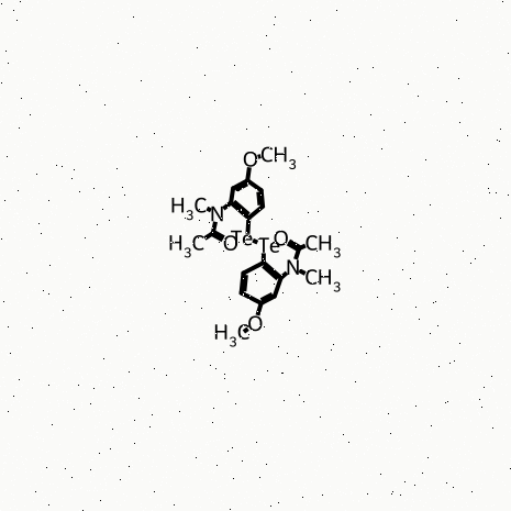 COc1ccc([Te][Te]c2ccc(OC)cc2N(C)C(C)=O)c(N(C)C(C)=O)c1